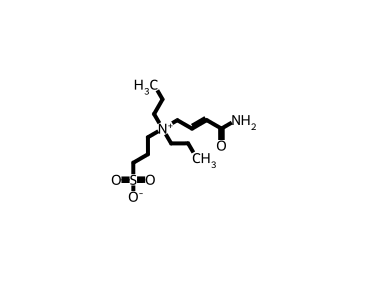 CCC[N+](CC=CC(N)=O)(CCC)CCCS(=O)(=O)[O-]